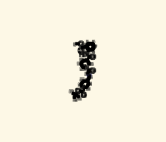 COC(=O)c1ccccc1NC(=O)[C@@H]1CCCN(C(=O)/C=C/C2CCN(C(=O)OC(C)(C)C)CC2)C1